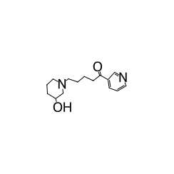 O=C(CCCCN1CCCC(O)C1)c1cccnc1